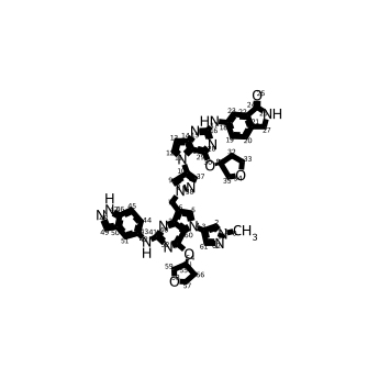 Cn1cc(-n2cc(Cn3cc(-n4ccc5nc(Nc6ccc7c(c6)C(=O)NC7)nc(O[C@H]6CCOC6)c54)cn3)c3nc(Nc4ccc5[nH]ncc5c4)nc(O[C@H]4CCOC4)c32)cn1